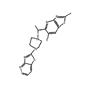 Cc1nc2nc(C(C)N3CCN(c4nc5ncccc5s4)CC3)c(F)cc2s1